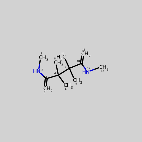 C=C(NC)C(C)(C)C(C)(C)C(=C)NC